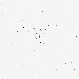 CCC(C)CC(=O)OCC[C@@](N)(Cc1ccc(OC(=O)C(C)C(C)C)c(OC(=O)C(C)C(C)C)c1)C(=O)OC